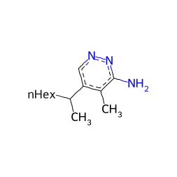 CCCCCCC(C)c1cnnc(N)c1C